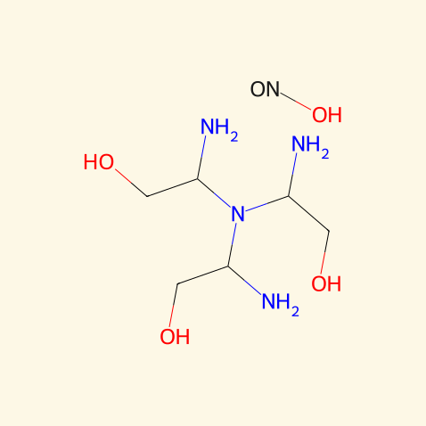 NC(CO)N(C(N)CO)C(N)CO.O=NO